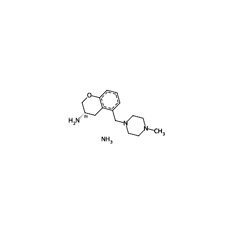 CN1CCN(Cc2cccc3c2C[C@H](N)CO3)CC1.N